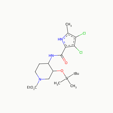 CCOC(=O)N1CCC(NC(=O)c2[nH]c(C)c(Cl)c2Cl)C(O[Si](C)(C)C(C)(C)C)C1